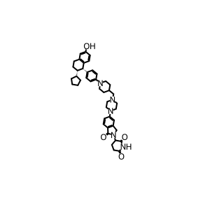 O=C1CCC(N2Cc3cc(N4CCN(CC5CCN(c6ccc([C@H]7c8ccc(O)cc8CC[C@H]7C7CCCC7)cc6)CC5)CC4)ccc3C2=O)C(=O)N1